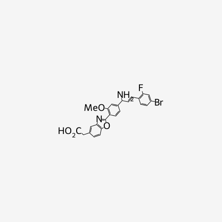 COc1cc(C(N)C=Cc2ccc(Br)cc2F)ccc1-c1nc2cc(CC(=O)O)ccc2o1